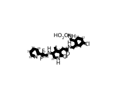 CC1=C(CC(=O)NCc2cc(Cl)ccc2CNC(=O)O)C(=O)NCC1NCC(F)(F)c1ccccn1